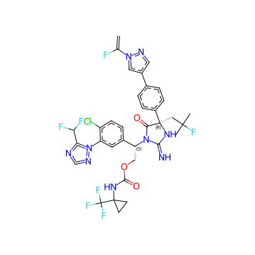 C=C(F)n1cc(-c2ccc([C@@]3(CC(C)(C)F)NC(=N)N([C@H](COC(=O)NC4(C(F)(F)F)CC4)c4ccc(Cl)c(-n5ncnc5C(F)F)c4)C3=O)cc2)cn1